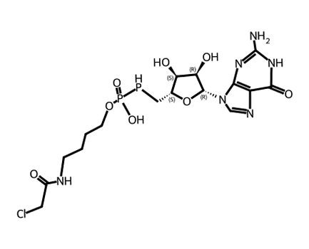 Nc1nc2c(ncn2[C@@H]2O[C@H](CPP(=O)(O)OCCCCNC(=O)CCl)[C@@H](O)[C@H]2O)c(=O)[nH]1